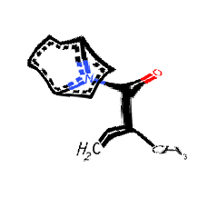 C=C(C)C(=O)n1c2ccc1cc2